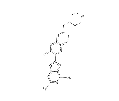 Cc1cn2cc(-c3cc4ccc(CN5CCNCC5)cc4oc3=O)nc2c(C)n1